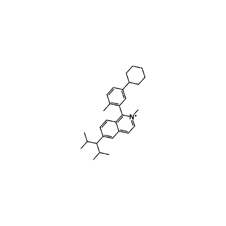 Cc1ccc(C2CCCCC2)cc1-c1c2ccc(C(C(C)C)C(C)C)cc2cc[n+]1C